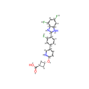 O=C(O)[C@H]1C[C@H](Oc2ccc(-c3ccc(-c4nc5c(F)cc(F)cc5[nH]4)c(F)c3)cn2)C1